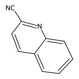 N#Cc1c[c]c2ccccc2n1